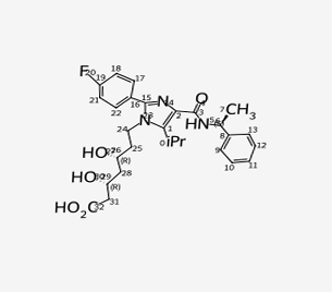 CC(C)c1c(C(=O)N[C@@H](C)c2ccccc2)nc(-c2ccc(F)cc2)n1CC[C@@H](O)C[C@@H](O)CC(=O)O